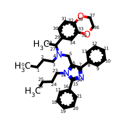 CCCCN(Cc1c(-c2ccccc2)nc(-c2ccccc2)n1CCCC)C(C)c1ccc2c(c1)OCCO2